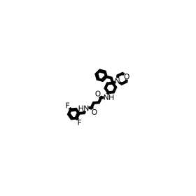 O=C(CCC(=O)NC1CCC(Cc2ccccc2)(N2CCOCC2)CC1)NCc1cc(F)ccc1F